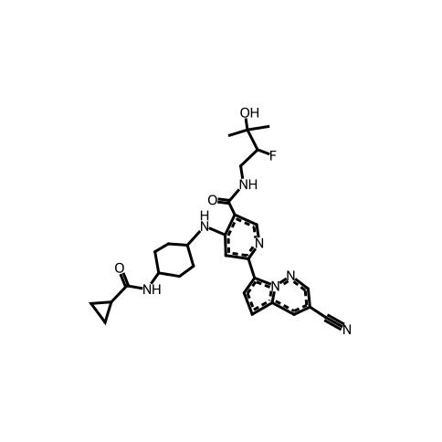 CC(C)(O)C(F)CNC(=O)c1cnc(-c2ccc3cc(C#N)cnn23)cc1NC1CCC(NC(=O)C2CC2)CC1